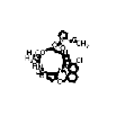 COC[C@H]1CCCN1C(=O)O[C@H]1/C=C/COC(C)(C)C(=O)NS(=O)(=O)c2ccc3c(c2)N(C[C@@H]2CC[C@H]21)C[C@@]1(CCCc2cc(Cl)ccc21)CO3